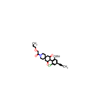 C=CCOCC(=O)N1CCC2(CC1)CC(=O)C(c1c(Cl)cc(C#CC)cc1OC)C(=O)C2